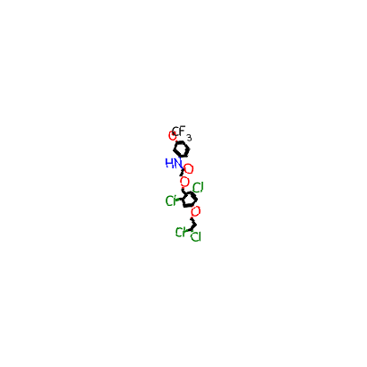 O=C(COCc1c(Cl)cc(OCC=C(Cl)Cl)cc1Cl)Nc1cccc(OC(F)(F)F)c1